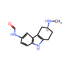 CN[C@H]1CCc2[nH]c3ccc(NC=O)cc3c2C1